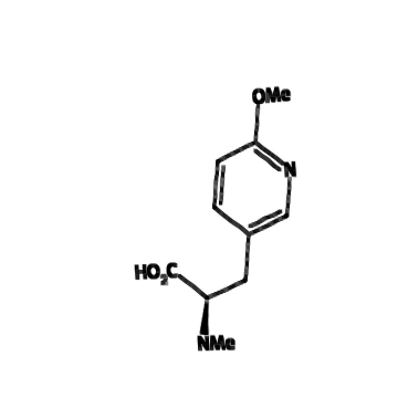 CN[C@H](Cc1ccc(OC)nc1)C(=O)O